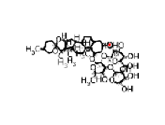 CC1CC[C@@]2(OC1)O[C@H]1C[C@H]3[C@@H]4CC=C5C[C@@H](O)C[C@@H](OC6O[C@H](C)[C@H](O)[C@H](O[C@@H]7OC[C@@H](O)[C@H](O)[C@H]7O)[C@H]6O[C@@H]6O[C@H](CO)[C@@H](O)[C@H](O)[C@H]6O)[C@]5(C)[C@H]4CC[C@]3(C)[C@H]1[C@@H]2C